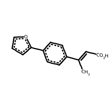 CC(=CC(=O)O)c1ccc(-c2ccco2)cc1